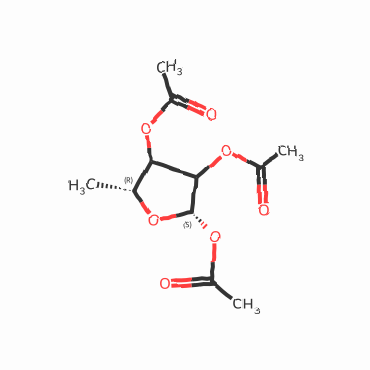 CC(=O)OC1C(OC(C)=O)[C@@H](C)O[C@H]1OC(C)=O